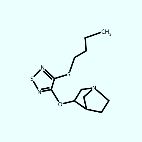 CCCCSc1nsnc1OC1CN2CCC1C2